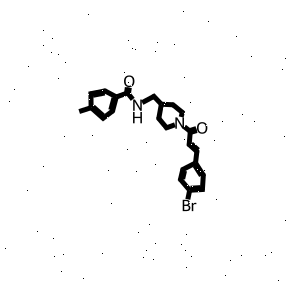 Cc1ccc(C(=O)NCC2CCN(C(=O)/C=C/c3ccc(Br)cc3)CC2)cc1